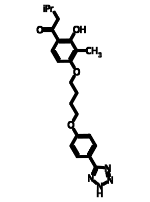 Cc1c(OCCCCOc2ccc(-c3nn[nH]n3)cc2)ccc(C(=O)CC(C)C)c1O